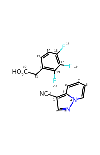 N#Cc1cnn2ccccc12.O=C(O)Cc1ccc(F)c(F)c1F